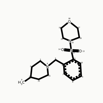 CC1CCN(Cc2ccccc2S(=O)(=O)N2CCOCC2)CC1